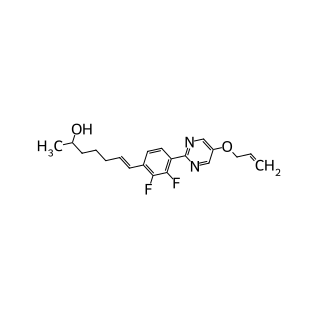 C=CCOc1cnc(-c2ccc(C=CCCCC(C)O)c(F)c2F)nc1